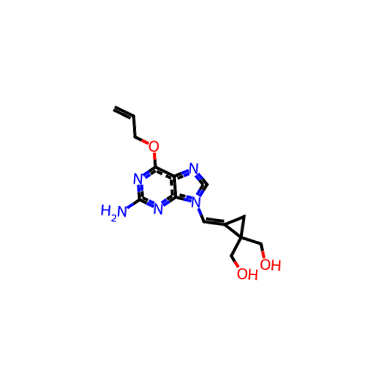 C=CCOc1nc(N)nc2c1ncn2C=C1CC1(CO)CO